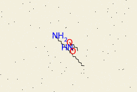 CCC1CC(=O)NC1=O.CCCCCCCCCCCCCCCCCCCCN